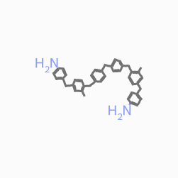 Cc1cc(Cc2ccc(N)cc2)ccc1Cc1ccc(Cc2ccc(Cc3ccc(Cc4ccc(N)cc4)cc3C)cc2)cc1